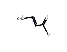 CCC(=O)/C=C/C=O